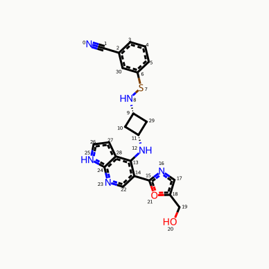 N#Cc1cccc(SN[C@H]2C[C@@H](Nc3c(-c4ncc(CO)o4)cnc4[nH]ccc34)C2)c1